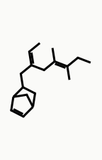 C/C=C(\C/C(C)=C(\C)CC)CC1CC2C=CC1C2